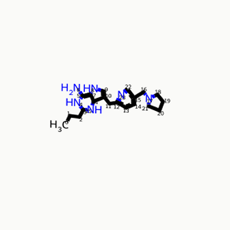 CCCC1NC(N)=C2NC=C(Cc3ccc(CN4CCCC4)cn3)C2N1